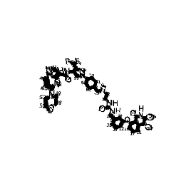 CN(CCNC(=O)NCc1cccc(Oc2cccc3c2C(=O)NC(=O)C3=O)c1)CC1CCC(n2cc(NC(=O)c3cnn4ccc(N5CCOCC5)nc34)c(C(F)F)n2)CC1